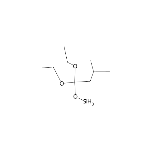 CCOC(CC(C)C)(O[SiH3])OCC